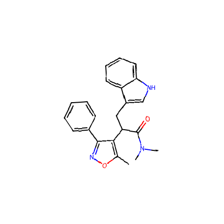 Cc1onc(-c2ccccc2)c1C(Cc1c[nH]c2ccccc12)C(=O)N(C)C